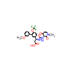 COc1cccc(-c2cc(C(CC(=O)O)NC(=O)NC3C(=O)C=CN(C)C3=O)ccc2OC(F)(F)F)c1